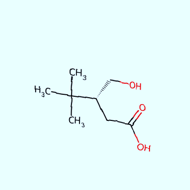 CC(C)(C)[C@H](CO)CC(=O)O